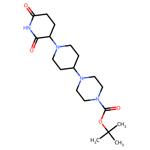 CC(C)(C)OC(=O)N1CCN(C2CCN(C3CCC(=O)NC3=O)CC2)CC1